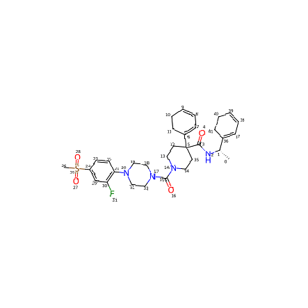 C[C@H](NC(=O)C1(C2=CC=CCC2)CCN(C(=O)N2CCN(c3ccc(S(C)(=O)=O)cc3F)CC2)CC1)C1=CC=CCC1